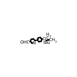 CC(C)(C)C(C)(C)COc1ccc(-c2ccc(C=O)cn2)cc1